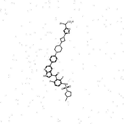 CC(C)C(C(=O)O)c1cc(N2CC(N3CCN(c4ccc(-c5cnc6[nH]cc(C(=O)c7c(F)ccc(NS(=O)(=O)N8CC[C@@H](F)C8)c7F)c6c5)cc4)CC3)C2)no1